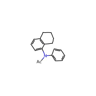 CC(=O)N(c1ccccc1)c1cccc2c1CCCC2